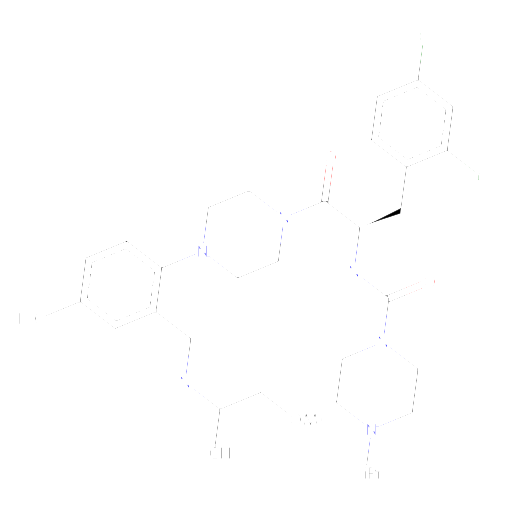 COCC(C)NCc1cc(C(F)(F)F)ccc1N1CCN(C(=O)[C@@H](Cc2ccc(Cl)cc2Cl)NC(=O)N2CCN(C(C)C)CC2)CC1